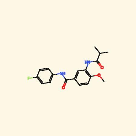 COc1ccc(C(=O)Nc2ccc(F)cc2)cc1NC(=O)C(C)C